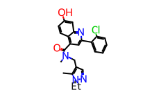 CCn1ncc(CN(C)C(=O)c2cc(-c3ccccc3Cl)nc3cc(O)ccc23)c1C